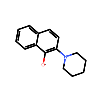 [O]c1c(N2CCCCC2)ccc2ccccc12